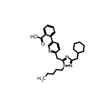 CCCCCn1nc(CC2CCCCC2)nc1Cc1ccc(-c2ccccc2C(=O)O)cn1